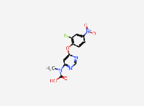 CN(C(=O)O)c1cc(Oc2ccc([N+](=O)[O-])cc2F)ncn1